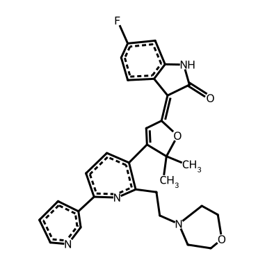 CC1(C)OC(=C2C(=O)Nc3cc(F)ccc32)C=C1c1ccc(-c2cccnc2)nc1CCN1CCOCC1